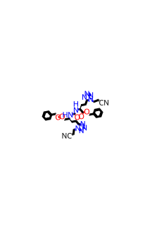 N#CCCn1nnnc1CC[C@@H](COOCc1ccccc1)NC(=O)N[C@@H](CCc1nnnn1CCC#N)C(=O)OCc1ccccc1